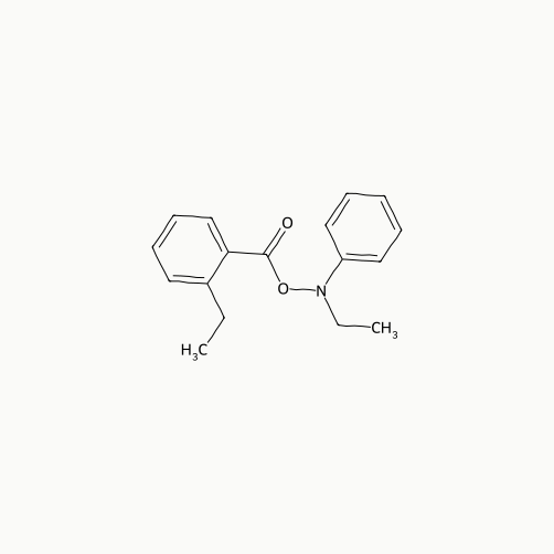 CCc1ccccc1C(=O)ON(CC)c1ccccc1